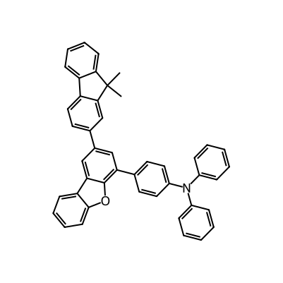 CC1(C)c2ccccc2-c2ccc(-c3cc(-c4ccc(N(c5ccccc5)c5ccccc5)cc4)c4oc5ccccc5c4c3)cc21